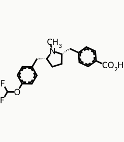 CN1[C@@H](Cc2ccc(OC(F)F)cc2)CC[C@H]1Cc1ccc(C(=O)O)cc1